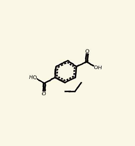 CCC.O=C(O)c1ccc(C(=O)O)cc1